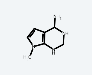 Cn1ccc2c1NCNC2N